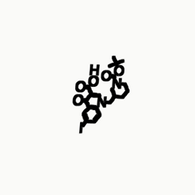 CC(C)(C)OC(=O)N1CCCC(Cn2cc(C(=O)O)c(=O)c3cc(I)ccc32)C1